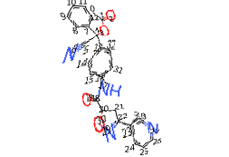 CC(=O)OC(C#N)(c1ccccc1)c1ccc(NC(=O)C2CC(c3cccnc3)=NO2)cc1